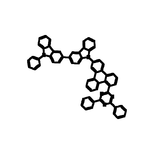 c1ccc(-c2nc(-c3ccccc3)nc(-c3cccc4c5ccc(-n6c7ccccc7c7cc(-c8ccc9c(c8)c8ccccc8n9-c8ccccc8)ccc76)cc5c5ccccc5c34)n2)cc1